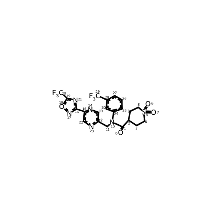 O=C(C1CCS(=O)(=O)CC1)N(Cc1cnc(-c2noc(C(F)(F)F)n2)cn1)c1cccc(C(F)(F)F)c1